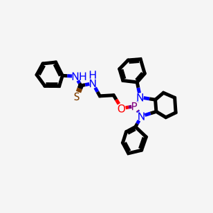 S=C(NCCOP1N(c2ccccc2)C2CCCCC2N1c1ccccc1)Nc1ccccc1